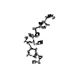 N#Cc1c(-c2ccc3c(c2)OCO3)ccnc1OCc1nc(CN)cs1